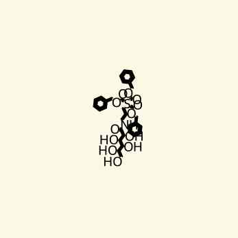 O=C(NCCCS(C(=O)OCc1ccccc1)(C(=O)OCc1ccccc1)C(=O)OCc1ccccc1)[C@H](O)[C@@H](O)[C@H](O)[C@H](O)CO